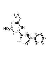 NCC(=O)N[C@@H](CC(=O)O)C(=O)NC(=O)c1ccccc1